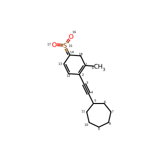 CC1=C(C#CC2CCCCCC2)C=CC(=S(=O)=O)C1